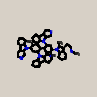 C=N/C=C\c1c(C)n(-c2cc(-n3c4ccccc4c4ccncc43)c(-c3cc(C#N)c(-n4c5ccccc5c5ccncc54)cc3-n3c4ccccc4c4ccncc43)cc2C#N)c2ccccc12